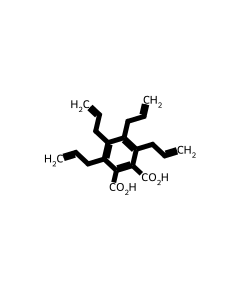 C=CCc1c(CC=C)c(CC=C)c(C(=O)O)c(C(=O)O)c1CC=C